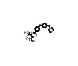 C[C@@H](O)C(NC(=O)c1ccc(Cc2ccc(CN3CCOCC3)cc2)cc1)C(=O)NO